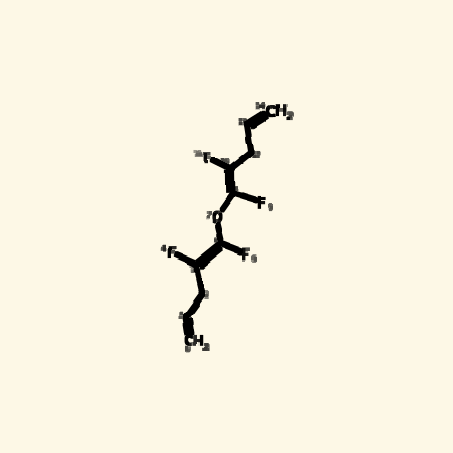 C=CCC(F)=C(F)OC(F)=C(F)CC=C